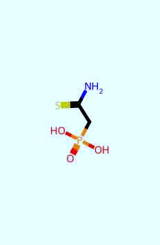 NC(=S)CP(=O)(O)O